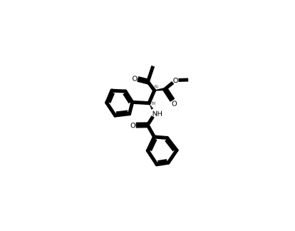 COC(=O)[C@H](C(C)=O)[C@H](NC(=O)c1ccccc1)c1ccccc1